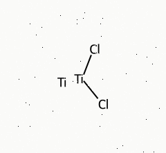 [Cl][Ti][Cl].[Ti]